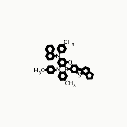 Cc1ccc(N2c3ccc(C)cc3B3c4cc5sc6c7c(ccc6c5cc4Oc4cc(N(c5ccc(C)cc5)c5cccc6ccccc56)cc2c43)CCC7)cc1